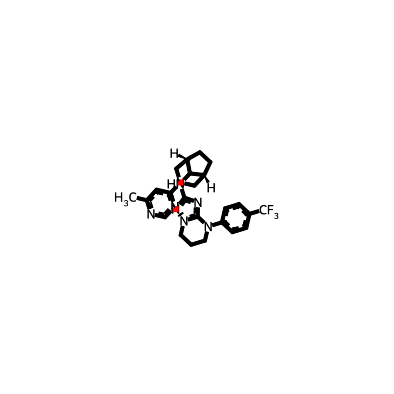 Cc1cc(N2C[C@H]3CC[C@@H](C2)C3Nc2nc3n(n2)CCCN3c2ccc(C(F)(F)F)cc2)ncn1